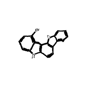 Brc1cccc2[nH]c3ccc4c5ccccc5oc4c3c12